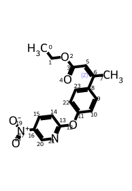 CCOC(=O)/C=C(/C)c1ccc(Oc2ccc([N+](=O)[O-])cn2)cc1